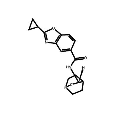 O=C(N[C@H]1CN2CCC1CC2)c1ccc2oc(C3CC3)nc2c1